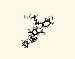 CCNCCNc1cc(Cl)ccc1CNc1cc(F)c(S(=O)(=O)Nc2ncns2)cc1C#N